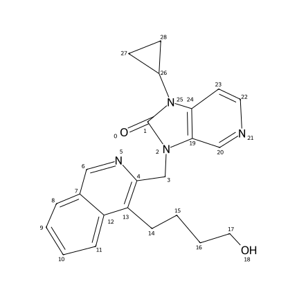 O=c1n(Cc2ncc3ccccc3c2CCCCO)c2cnccc2n1C1CC1